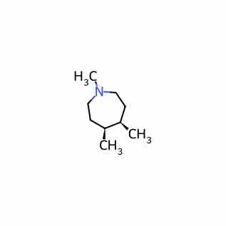 C[C@@H]1CCN(C)CC[C@@H]1C